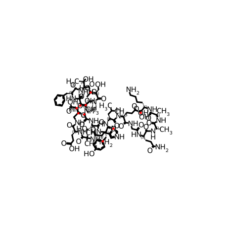 CC(C)C[C@H](NC(=O)[C@H](Cc1ccc(O)cc1)NC(=O)[C@H](CO)NC(=O)[C@H](CCC(=O)O)NC(=O)[C@H](CC(=O)O)NC(=O)[C@H](CO)NC(=O)[C@@H](NC(=O)[C@H](Cc1ccccc1)NC(=O)[C@@H](NC(=O)CNC(=O)[C@H](CCC(=O)O)NC(=O)C(C)(C)NC(=O)[C@@H](N)Cc1c[nH]cn1)[C@@H](C)O)[C@@H](C)O)C(=O)N[C@@H](CCC(=O)O)C(=O)NCC(=O)N[C@@H](CCC(N)=O)C(=O)N[C@@H](C)C(=O)N[C@@H](C)C(=O)N[C@@H](CCCCN)C(=O)O